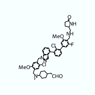 COc1cc(Cn2ncc3c(-c4cccc(-c5cc(F)c(CNCC6CCC(=O)N6)c(OC)c5)c4Cl)cccc32)c(Cl)cc1CN(C)C1CCC(CC=O)CC1